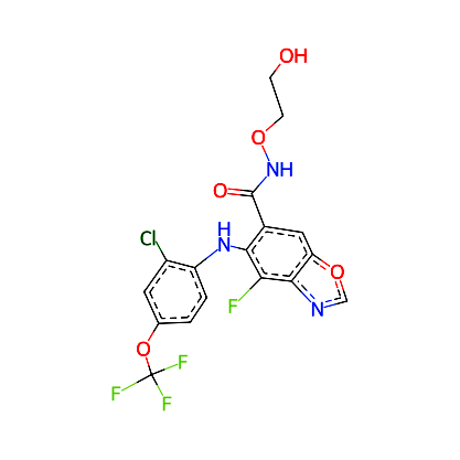 O=C(NOCCO)c1cc2ocnc2c(F)c1Nc1ccc(OC(F)(F)F)cc1Cl